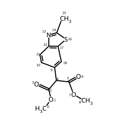 COC(=O)C(C(=O)OC)c1ccc2nc(C)sc2c1